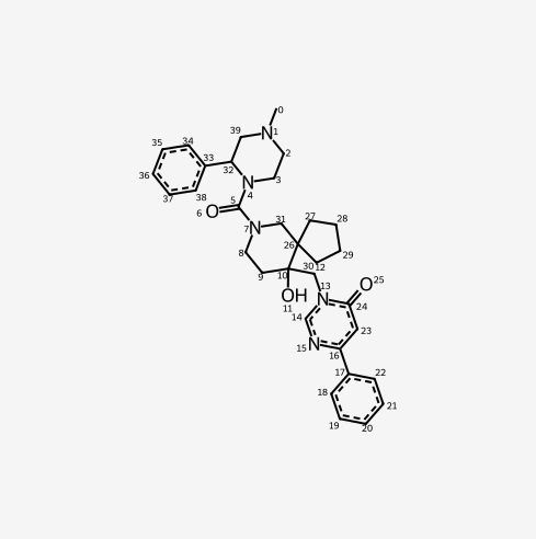 CN1CCN(C(=O)N2CCC(O)(Cn3cnc(-c4ccccc4)cc3=O)C3(CCCC3)C2)C(c2ccccc2)C1